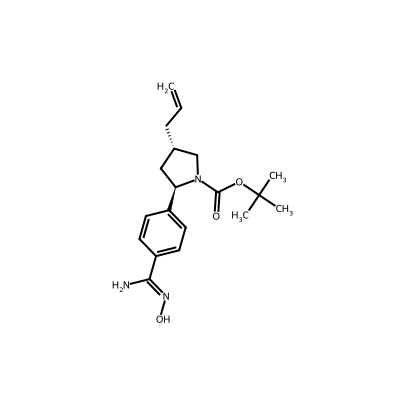 C=CC[C@H]1C[C@H](c2ccc(C(N)=NO)cc2)N(C(=O)OC(C)(C)C)C1